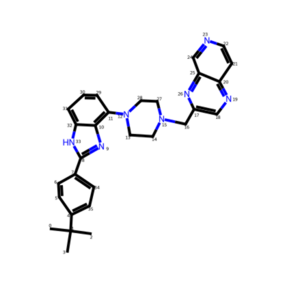 CC(C)(C)c1ccc(-c2nc3c(N4CCN(Cc5cnc6ccncc6n5)CC4)cccc3[nH]2)cc1